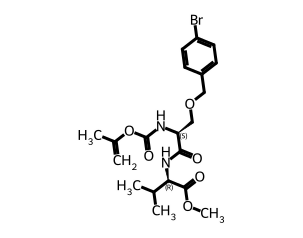 C=C(C)OC(=O)N[C@@H](COCc1ccc(Br)cc1)C(=O)N[C@@H](C(=O)OC)C(C)C